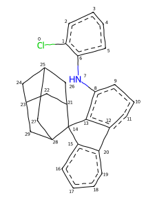 Clc1ccccc1Nc1cccc2c1C1(c3ccccc3-2)C2CC3CC(C2)CC1C3